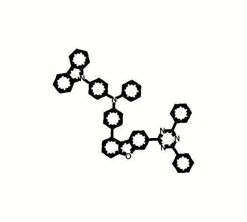 c1ccc(-c2nc(-c3ccccc3)nc(-c3ccc4c(c3)oc3cccc(-c5ccc(N(c6ccccc6)c6ccc(-n7c8ccccc8c8ccccc87)cc6)cc5)c34)n2)cc1